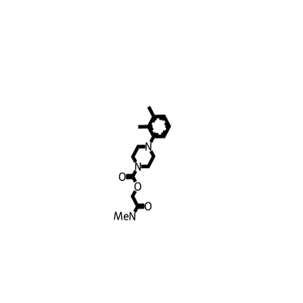 CNC(=O)COC(=O)N1CCN(c2cccc(C)c2C)CC1